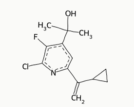 C=C(c1cc(C(C)(C)O)c(F)c(Cl)n1)C1CC1